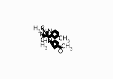 CC(=O)c1ccc(Nc2c3cc(C)ccc3nc3c2c(C)nn3C)cc1